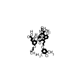 COCCOc1cc(N2CC(C)n3c(c(CCCOc4cc(C)c(Cl)c(C)c4)c4ccc(Cl)c(-c5c(C)nn(C)c5C)c43)C2=O)c2c(c1)cc(C(=O)O)n2C